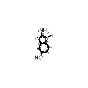 Cn1c(N)nc2cc(C#N)ccc21